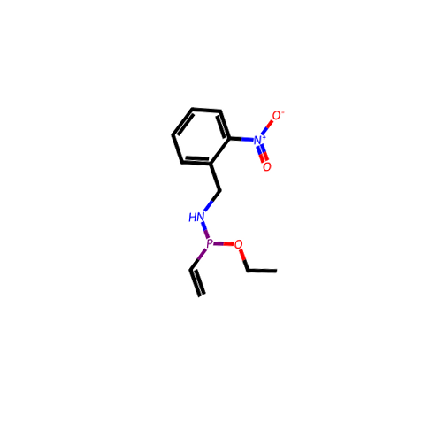 C=CP(NCc1ccccc1[N+](=O)[O-])OCC